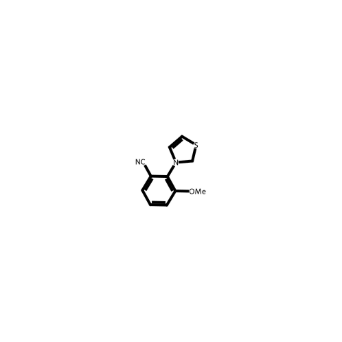 COc1cccc(C#N)c1N1C=CSC1